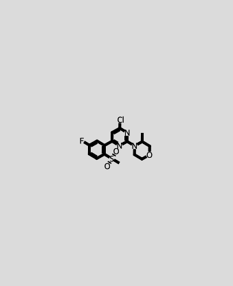 CC1COCCN1c1nc(Cl)cc(-c2cc(F)ccc2S(C)(=O)=O)n1